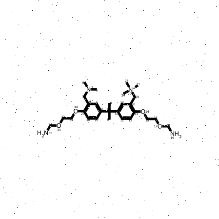 CN(C)Cc1cc(C(C)(C)c2ccc(OCCOCN)c(C[N+](C)(C)C)c2)ccc1OCCOCN